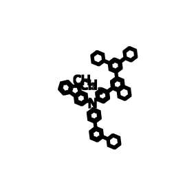 CC1(C)c2ccccc2-c2ccc(N(c3ccc(-c4cccc(C5CCCCC5)c4)cc3)c3ccc(-c4cc(-c5cc(C6CCCCC6)cc(C6CCCCC6)c5)cc5c4CCCC5)cc3)cc21